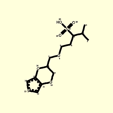 CC(C)C(CCOCC1COc2cscc2O1)S(=O)(=O)O